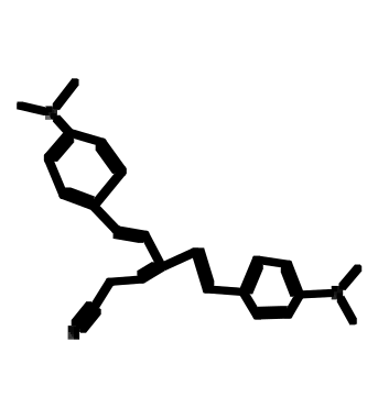 CN(C)c1ccc(C=CC(C=Cc2ccc(N(C)C)cc2)=CCC#N)cc1